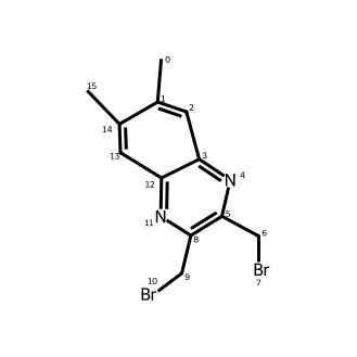 Cc1cc2nc(CBr)c(CBr)nc2cc1C